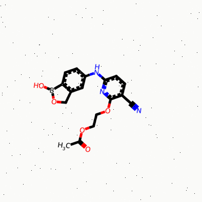 CC(=O)OCCOc1nc(Nc2ccc3c(c2)COB3O)ccc1C#N